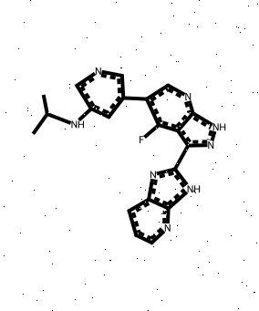 CC(C)Nc1cncc(-c2cnc3[nH]nc(-c4nc5cccnc5[nH]4)c3c2F)c1